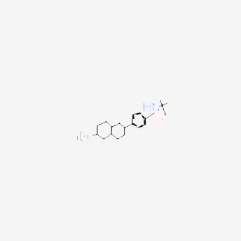 CCCCC1CCC2CC(c3ccc(C4NC(C)(C)CO4)cc3)CCC2C1